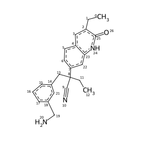 CCc1cc2ccc(C(C#N)(CC)Cc3cccc(CN)c3)cc2[nH]c1=O